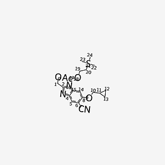 CC(=O)OCc1nc2cc(C#N)c(OCC3CC3)cc2n1COCCS(C)(C)C